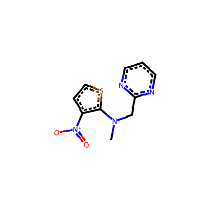 CN(Cc1ncccn1)c1sccc1[N+](=O)[O-]